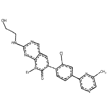 CCn1c(=O)c(-c2ccc(-c3cncc(C)n3)cc2Cl)cc2cnc(NCCO)nc21